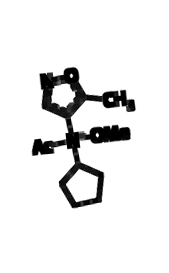 CO[N+](C(C)=O)(c1cnoc1C)C1CCCC1